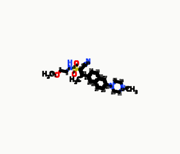 COCCNS(=O)(=O)/C(C#N)=C(\C)c1ccc2cc(N3CCN(C)CC3)ccc2c1